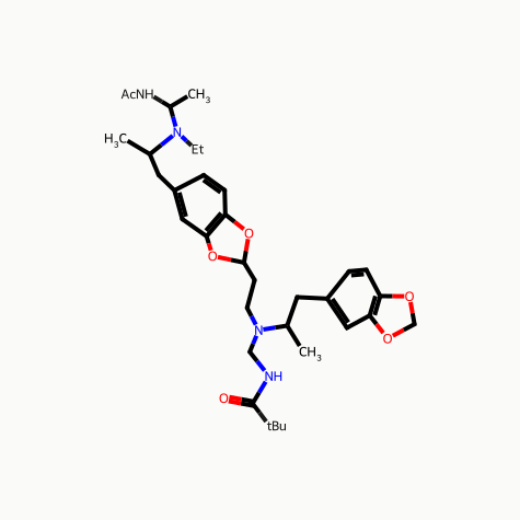 CCN(C(C)Cc1ccc2c(c1)OC(CCN(CNC(=O)C(C)(C)C)C(C)Cc1ccc3c(c1)OCO3)O2)C(C)NC(C)=O